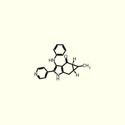 CC1[C@H]2C(=O)c3c([nH]c(-c4ccncc4)c3Nc3ccccc3)C[C@@H]12